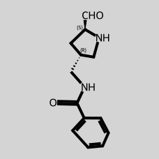 O=C[C@@H]1C[C@@H](CNC(=O)c2ccccc2)CN1